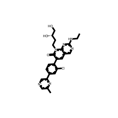 CCNc1ncc2cc(-c3ccc(-c4cncc(C)n4)cc3Cl)c(=O)n(CC[C@H](O)CO)c2n1